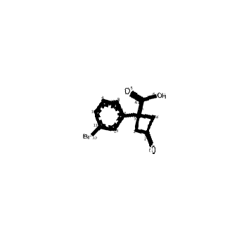 O=C1CC(C(=O)O)(c2cccc(Br)c2)C1